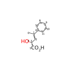 CC(=C[C@H](O)C(=O)O)c1ccccc1